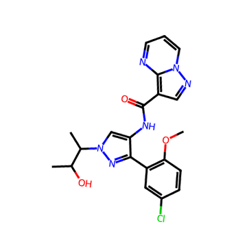 COc1ccc(Cl)cc1-c1nn(C(C)C(C)O)cc1NC(=O)c1cnn2cccnc12